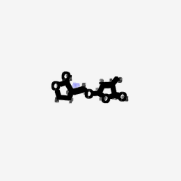 CC1=CC(O/C=C2\CCOC2=O)OC1=O